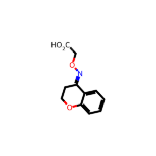 O=C(O)CON=C1CCOc2ccccc21